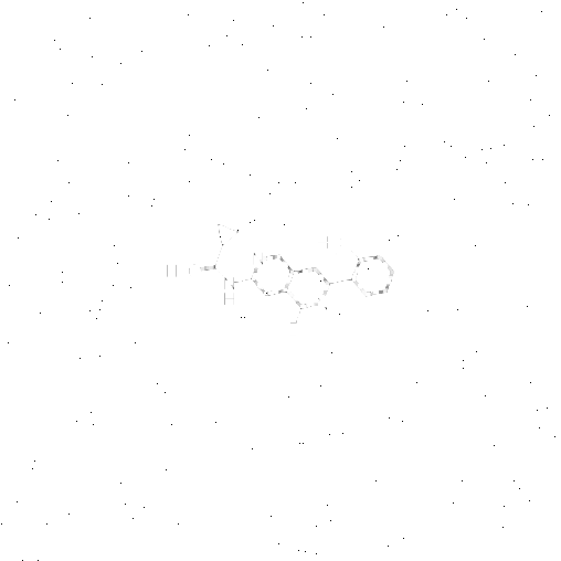 C=C(Nc1cc2c(CC)nc(-c3ccccc3C)cc2cn1)C1CC1